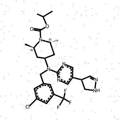 CC(C)OC(=O)N1[C@H](C)CC(N(Cc2cc(Cl)cc(C(F)(F)F)c2)c2ncc(C3C=NNC3)cn2)C[C@H]1C